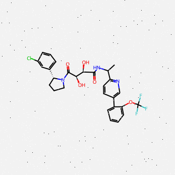 CC(NC(=O)[C@H](O)[C@@H](O)C(=O)N1CCC[C@@H]1c1cccc(Cl)c1)c1ccc(-c2ccccc2OC(F)(F)F)cn1